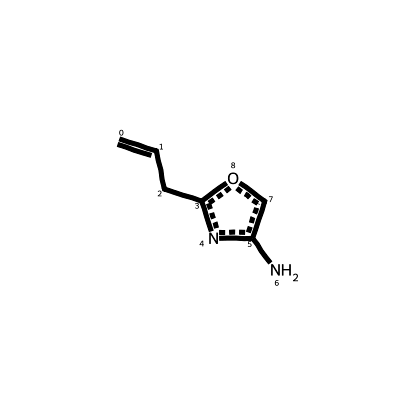 C=CCc1nc(N)co1